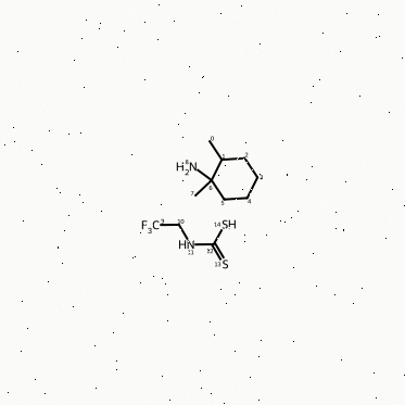 CC1CCCCC1(C)N.FC(F)(F)CNC(=S)S